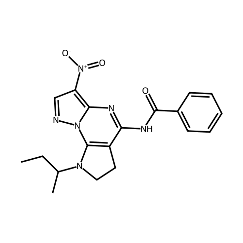 CCC(C)N1CCc2c(NC(=O)c3ccccc3)nc3c([N+](=O)[O-])cnn3c21